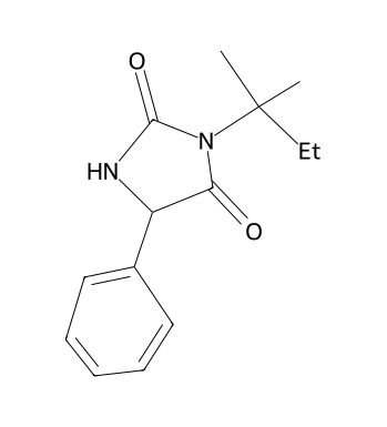 CCC(C)(C)N1C(=O)NC(c2ccccc2)C1=O